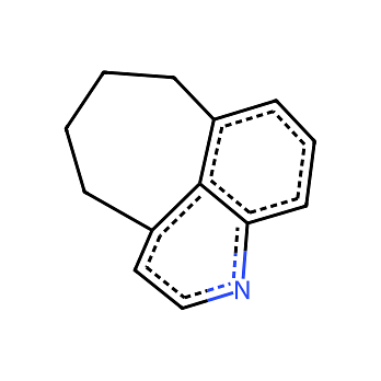 c1cc2c3c(ccnc3c1)CCCC2